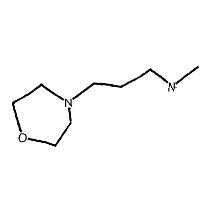 C[N]CCCN1CCOCC1